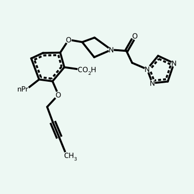 CC#CCOc1c(CCC)ccc(OC2CN(C(=O)Cn3cncn3)C2)c1C(=O)O